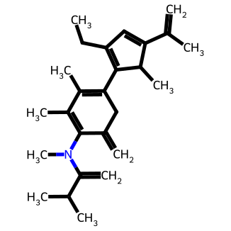 C=C(C)C1=CC(CC)=C(C2=C(C)C(C)=C(N(C)C(=C)C(C)C)C(=C)C2)C1C